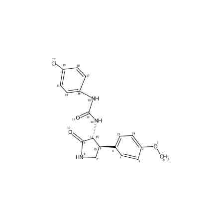 COc1ccc([C@H]2CNC(=O)[C@@H]2NC(=O)Nc2ccc(Cl)cc2)cc1